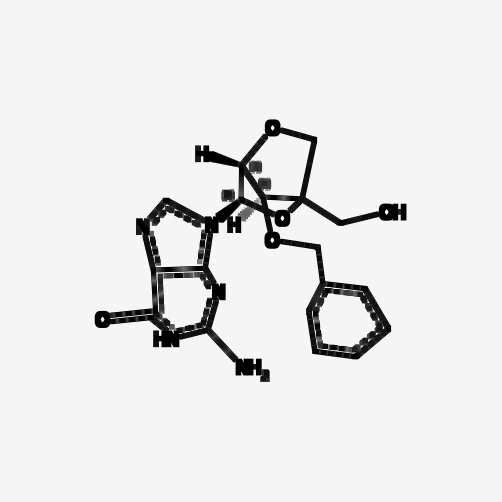 Nc1nc2c(ncn2[C@@H]2OC3(CO)CO[C@@H]2[C@@H]3OCc2ccccc2)c(=O)[nH]1